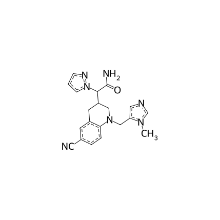 Cn1cncc1CN1CC(C(C(N)=O)n2cccn2)Cc2cc(C#N)ccc21